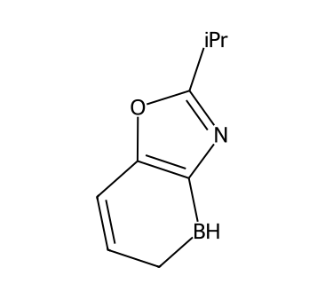 CC(C)c1nc2c(o1)C=CCB2